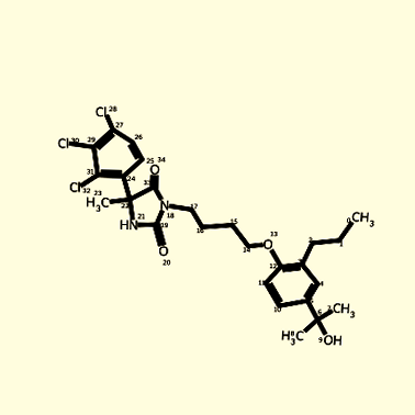 CCCc1cc(C(C)(C)O)ccc1OCCCCN1C(=O)NC(C)(c2ccc(Cl)c(Cl)c2Cl)C1=O